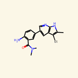 CCc1c(C)[nH]c2ncc(-c3ccc(N)c(C(=O)N(C)C)c3)cc12